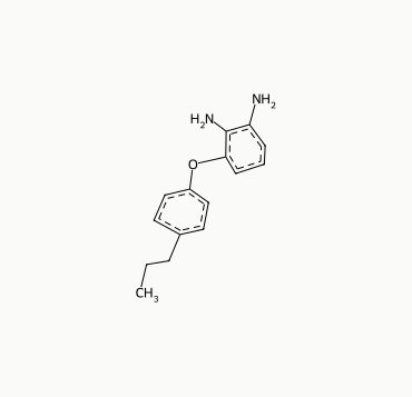 CCCc1ccc(Oc2cccc(N)c2N)cc1